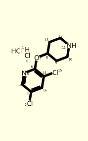 Cl.Cl.Clc1cnc(OC2CCNCC2)c(Cl)c1